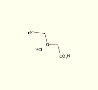 CCCCOCC(=O)O.Cl